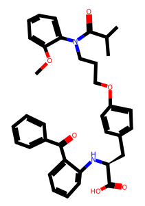 COc1ccccc1N(CCCOc1ccc(C[C@H](Nc2ccccc2C(=O)c2ccccc2)C(=O)O)cc1)C(=O)C(C)C